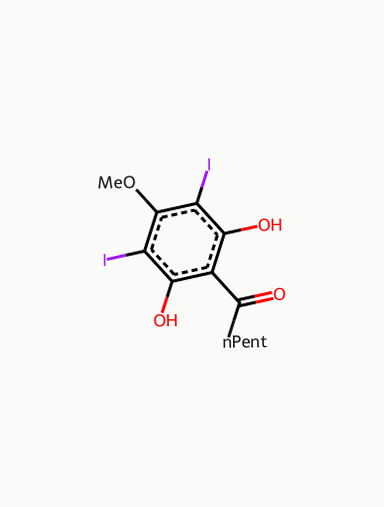 CCCCCC(=O)c1c(O)c(I)c(OC)c(I)c1O